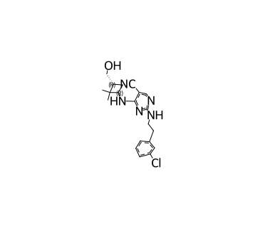 CC1(C)[C@H](CO)C[C@H]1Nc1nc(NCCc2cccc(Cl)c2)ncc1C#N